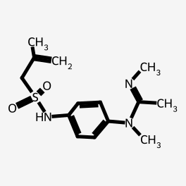 C=C(C)CS(=O)(=O)Nc1ccc(N(C)C(C)=NC)cc1